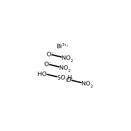 O=S(=O)(O)O.O=[N+]([O-])[O-].O=[N+]([O-])[O-].O=[N+]([O-])[O-].[Bi+3]